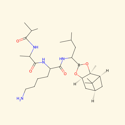 CC(C)CC(NC(=O)C(CCCCN)NC(=O)C(C)NC(=O)C(C)C)B1O[C@@H]2C[C@@H]3C[C@@H](C3(C)C)[C@]2(C)O1